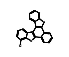 Clc1cccc2c1oc1c3ccccc3c3oc4ccccc4c3c21